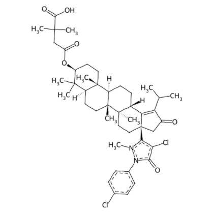 CC(C)C1=C2[C@H]3CC[C@@H]4[C@@]5(C)CC[C@H](OC(=O)CC(C)(C)C(=O)O)C(C)(C)[C@@H]5CC[C@@]4(C)[C@]3(C)CC[C@@]2(c2c(Cl)c(=O)n(-c3ccc(Cl)cc3)n2C)CC1=O